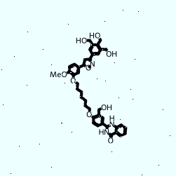 COc1ccc(C2CC(c3cc(CO)c(CO)c(CO)c3)=NO2)cc1OCCCCCCCOc1ccc(C2NC(=O)c3ccccc3N2)cc1CO